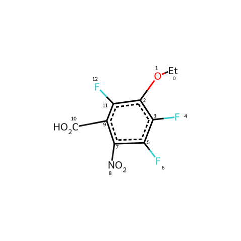 CCOc1c(F)c(F)c([N+](=O)[O-])c(C(=O)O)c1F